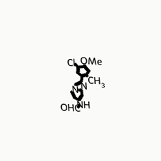 COc1cc(C)c(-c2cn3ccc(NC=O)cc3n2)cc1Cl